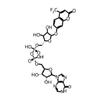 O=c1cc(C(F)(F)F)c2ccc(OC3O[C@H](COP(=O)(O)OP(=O)(O)OCC4OC(n5cnc6c(=O)[nH]cnc65)[C@H](O)[C@@H]4O)C(O)C3O)cc2o1